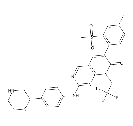 Cc1ccc(-c2cc3cnc(Nc4ccc(C5CNCCS5)cc4)nc3n(CC(F)(F)F)c2=O)c(S(C)(=O)=O)c1